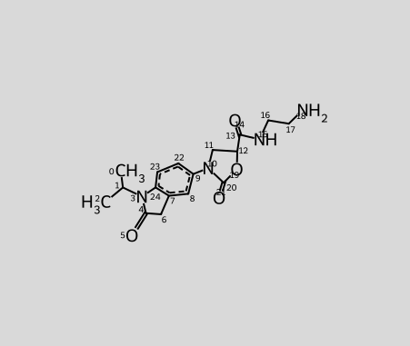 CC(C)N1C(=O)Cc2cc(N3CC(C(=O)NCCN)OC3=O)ccc21